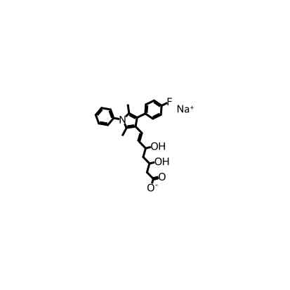 Cc1c(/C=C/C(O)CC(O)CC(=O)[O-])c(-c2ccc(F)cc2)c(C)n1-c1ccccc1.[Na+]